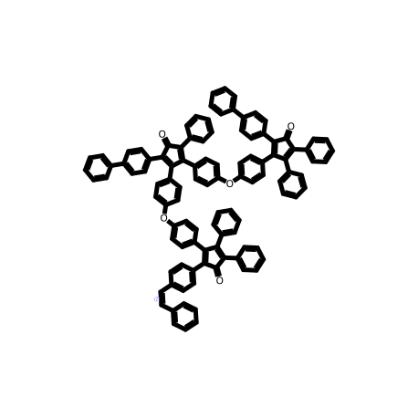 O=C1C(c2ccccc2)=C(c2ccccc2)C(c2ccc(Oc3ccc(C4=C(c5ccc(-c6ccccc6)cc5)C(=O)C(c5ccccc5)=C4c4ccc(Oc5ccc(C6=C(c7ccc(-c8ccccc8)cc7)C(=O)C(c7ccccc7)=C6c6ccccc6)cc5)cc4)cc3)cc2)=C1c1ccc(/C=C\c2ccccc2)cc1